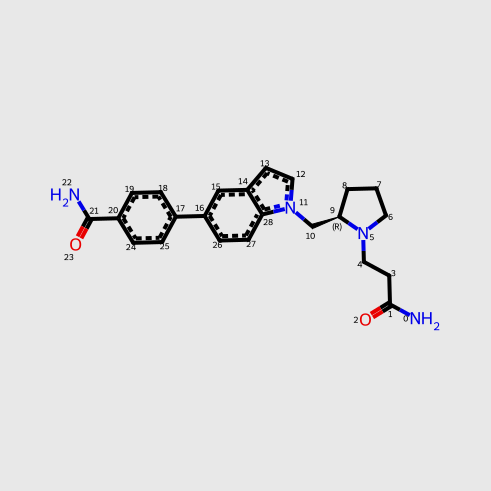 NC(=O)CCN1CCC[C@@H]1Cn1ccc2cc(-c3ccc(C(N)=O)cc3)ccc21